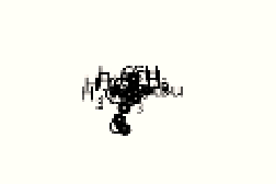 CC(C)(C)c1ccc(N2c3cc4c(cc3B3c5cc6c(cc5N(c5ccc(-c7ccc8oc9ccccc9c8c7)cc5)c5cccc2c53)C(C)(C)CC6(C)C)C(C)(C)CC4(C)C)cc1